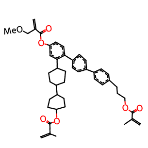 C=C(C)C(=O)OCCCc1ccc(-c2ccc(-c3ccc(OC(=O)C(=C)COC)cc3C3CCC(C4CCC(OC(=O)C(=C)C)CC4)CC3)cc2)cc1